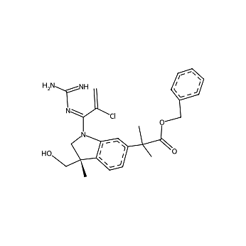 C=C(Cl)/C(=N\C(=N)N)N1C[C@@](C)(CO)c2ccc(C(C)(C)C(=O)OCc3ccccc3)cc21